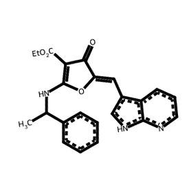 CCOC(=O)C1=C(NC(C)c2ccccc2)O/C(=C\c2c[nH]c3ncccc23)C1=O